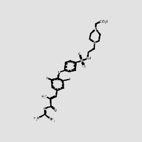 C/C(=C\c1cc(F)c(Oc2ccc(S(=O)(=O)NCCN3CCN(CC(=O)O)CC3)cc2)c(F)c1)C(=O)N=C(N)N